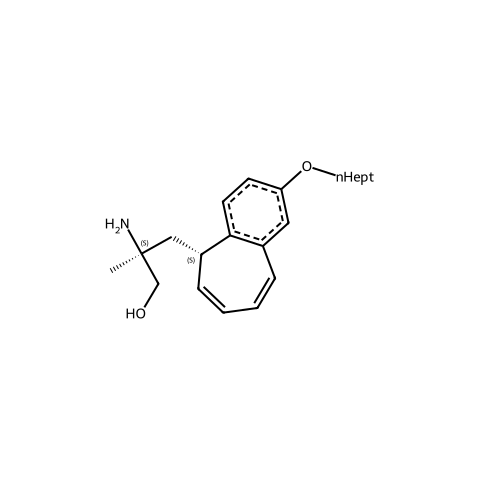 CCCCCCCOc1ccc2c(c1)C=CC=C[C@@H]2C[C@](C)(N)CO